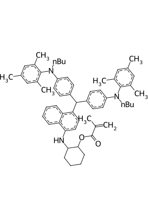 C=C(C)C(=O)OC1CCCCC1Nc1ccc(C(c2ccc(N(CCCC)c3c(C)cc(C)cc3C)cc2)c2ccc(N(CCCC)c3c(C)cc(C)cc3C)cc2)c2ccccc12